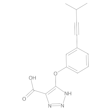 CC(C)C#Cc1cccc(Oc2[nH]nnc2C(=O)O)c1